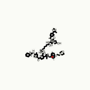 Cc1cc(C(=O)c2ccc(-c3cnn(CC45CC6(OCCN7CCOCC7)C[C@](C)(C4)C[C@](C)(C5)C6)c3C)c(C(=O)NS(=O)(=O)CCCCCC(=O)N[C@H](C(=O)N3C[C@H](O)C[C@H]3C(=O)N[C@@H](C)c3ccc(-c4scnc4C)cc3)C(C)(C)C)n2)nnc1Nc1nc2ccccc2s1